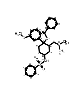 COc1cccc(C2(OC(=O)c3ccccc3)CCC(NS(=O)(=O)c3ccccc3)CC2CN(C)C)c1